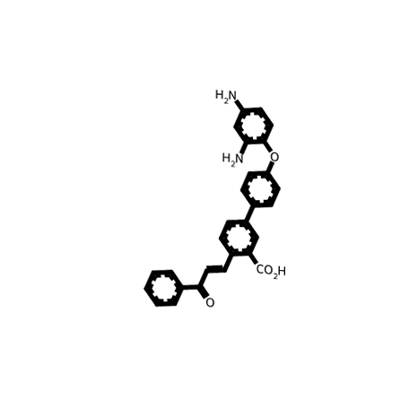 Nc1ccc(Oc2ccc(-c3ccc(C=CC(=O)c4ccccc4)c(C(=O)O)c3)cc2)c(N)c1